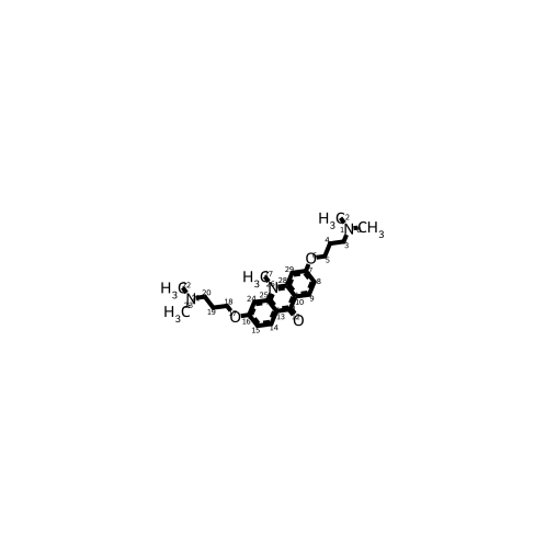 CN(C)CCCOc1ccc2c(=O)c3ccc(OCCCN(C)C)cc3n(C)c2c1